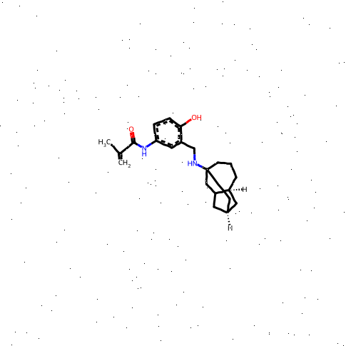 C=C(C)C(=O)Nc1ccc(O)c(CNC23CCC[C@H]4C[C@@H](CC4C2)C3)c1